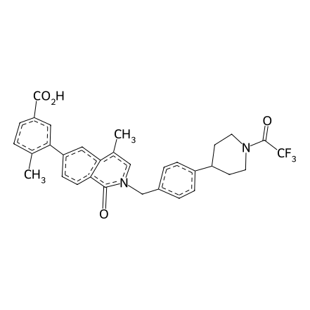 Cc1ccc(C(=O)O)cc1-c1ccc2c(=O)n(Cc3ccc(C4CCN(C(=O)C(F)(F)F)CC4)cc3)cc(C)c2c1